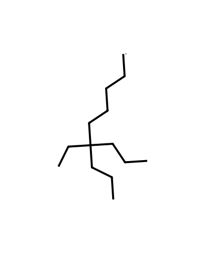 [CH2]CCCCC(CC)(CCC)CCC